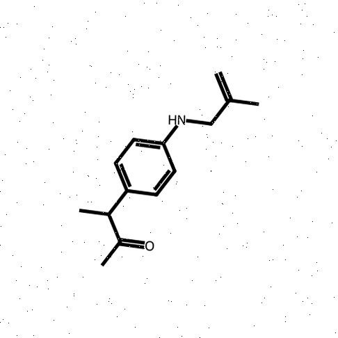 C=C(C)CNc1ccc(C(C)C(C)=O)cc1